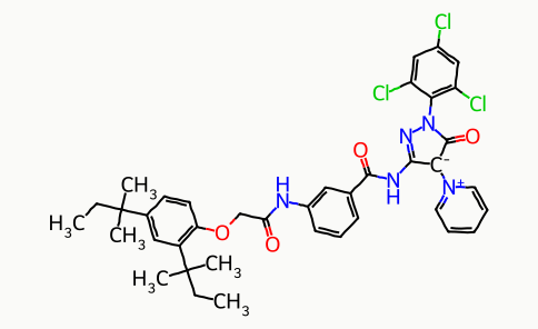 CCC(C)(C)c1ccc(OCC(=O)Nc2cccc(C(=O)Nc3nn(-c4c(Cl)cc(Cl)cc4Cl)c(=O)[c-]3-[n+]3ccccc3)c2)c(C(C)(C)CC)c1